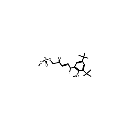 COc1c(C(F)C=CC(=O)COP(C)(=O)OC)cc(C(C)(C)C)cc1C(C)(C)C